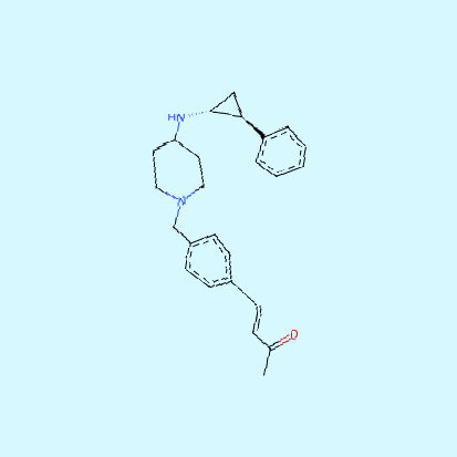 CC(=O)/C=C/c1ccc(CN2CCC(N[C@@H]3C[C@H]3c3ccccc3)CC2)cc1